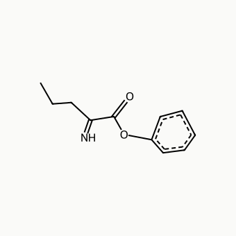 CCCC(=N)C(=O)Oc1ccccc1